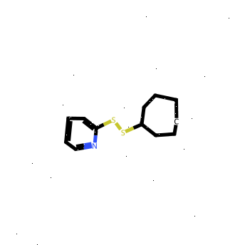 c1ccc(SSC2CCCCCC2)nc1